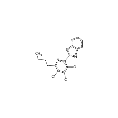 CCCCc1nn(-c2nc3ccccc3s2)c(=O)c(Cl)c1Cl